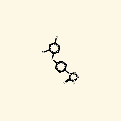 O=c1[nH]nnn1-c1ccc(Oc2ccc(Cl)cc2Cl)cc1